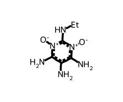 CCNc1[n+]([O-])c(N)c(N)c(N)[n+]1[O-]